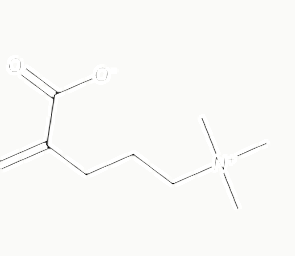 C=C(CCC[N+](C)(C)C)C(=O)[O-]